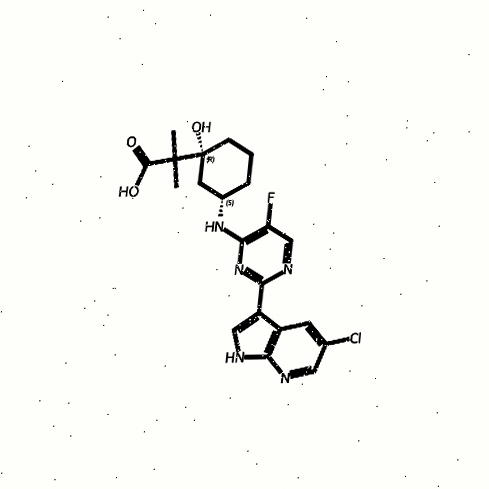 CC(C)(C(=O)O)[C@@]1(O)CCC[C@H](Nc2nc(-c3c[nH]c4ncc(Cl)cc34)ncc2F)C1